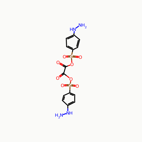 NNc1ccc(S(=O)(=O)OC(=O)C(=O)OS(=O)(=O)c2ccc(NN)cc2)cc1